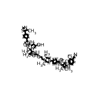 Cc1ncsc1-c1ccc([C@H](CO)NC(=O)[C@@H]2C[C@@H](O)CN2C(=O)C(NC(=O)COCCN2[C@H](C)CN(c3ccc(C(=O)NC4C(C)(C)C(Oc5ccc(C#N)c(Cl)c5)C4(C)C)cn3)C[C@@H]2C)C(C)(C)C)cc1